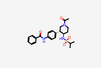 CC(=O)N1CC[C@@H](NS(=O)(=O)C(C)C)[C@H](c2ccc(NC(=O)c3ccccc3)cc2)C1